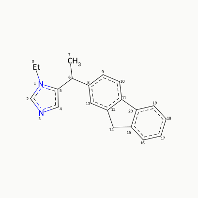 CCn1cncc1C(C)c1ccc2c(c1)Cc1ccccc1-2